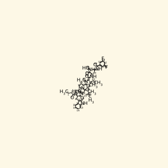 CCCC(=O)N(C)C(Cc1c[nH]c2ccccc12)C(=O)N(C)[C@@H](CC(C)C)C(=O)N1CCC[C@H]1C(=O)N(C)[C@H](C(=O)N[C@@H](CCNC(=O)c1cc(F)cc(F)c1)C(=O)NO)C(C)CC